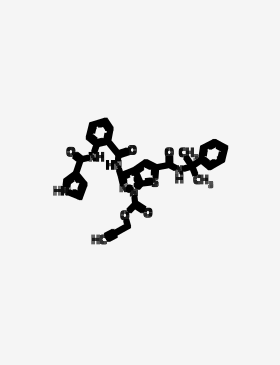 C#CCOC(=O)n1nc(NC(=O)c2ccccc2NC(=O)c2cc[nH]c2)c2cc(C(=O)NC(C)(C)c3ccccc3)sc21